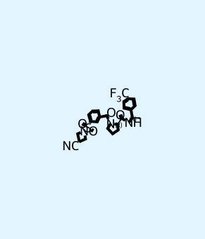 C[C@@H](NC(=O)[C@H]1CCCN1C(=O)c1cccc(S(=O)(=O)N2CC(C#N)C2)c1)c1ccc(C(F)(F)F)cc1